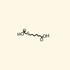 O=C(O)CCCCCCSCC(=O)O